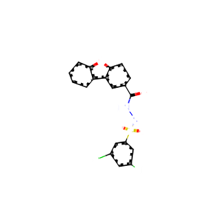 O=C(NNS(=O)(=O)c1cc(Cl)cc(Cl)c1)c1ccc2oc3ccccc3c2c1